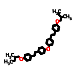 CCC(C)COc1ccc(/C=C/c2ccc(Oc3ccc(/C=C/c4ccc(OCC(C)CC)cc4)cc3)cc2)cc1